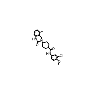 COc1ccc(NC(=O)C2CCC(N3Cc4c(C)cccc4NC3=O)CC2)cc1Cl